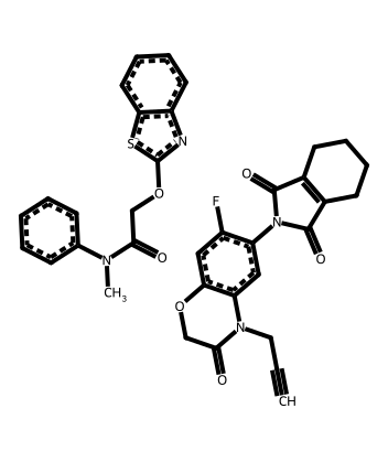 C#CCN1C(=O)COc2cc(F)c(N3C(=O)C4=C(CCCC4)C3=O)cc21.CN(C(=O)COc1nc2ccccc2s1)c1ccccc1